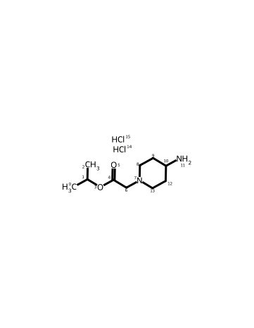 CC(C)OC(=O)CN1CCC(N)CC1.Cl.Cl